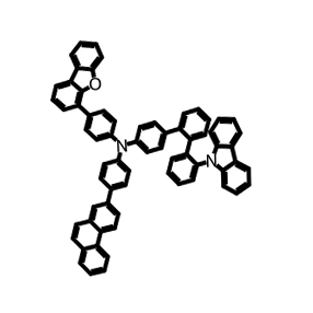 c1ccc(-c2ccccc2-n2c3ccccc3c3ccccc32)c(-c2ccc(N(c3ccc(-c4ccc5c(ccc6ccccc65)c4)cc3)c3ccc(-c4cccc5c4oc4ccccc45)cc3)cc2)c1